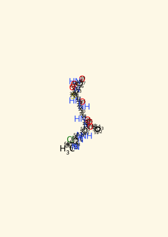 Cn1ncc(-c2nc(NC3CCC(N(CC(=O)NCCCCNCC(=O)NCc4scc5c4CN(C4CCC(=O)NC4=O)C5=O)C(=O)OCc4ccccc4)CC3)ncc2Cl)c1CC1CC1